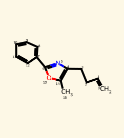 C=CCCc1nc(-c2ccccc2)oc1C